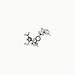 Cn1nc(C(F)F)cc1S(=O)(=O)C(C)(F)C1CCN(C(=O)OC(C)(C)C)CC1